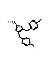 O=C(O)c1nc(Cc2ccc(Cl)cc2)c(Cc2ccc(Cl)cc2)[nH]1